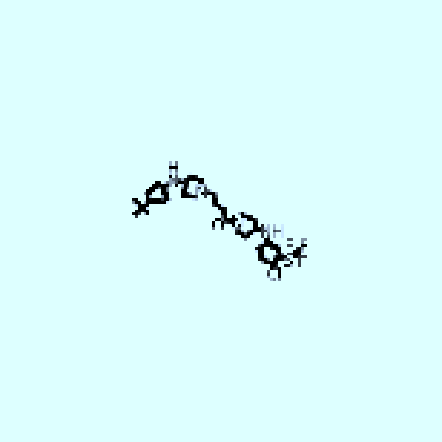 CC(C)(C)c1ccc(NC2CCN(CCCC(=O)N3CCC(Nc4ccc(Cl)c(SC(F)(F)F)c4)CC3)CC2)cc1